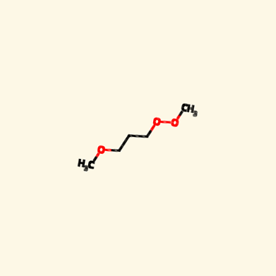 COCCCOOC